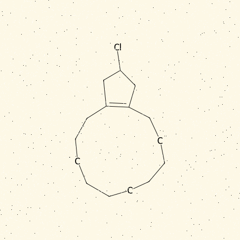 ClC1CC2=C(CCCCCCCCCC2)C1